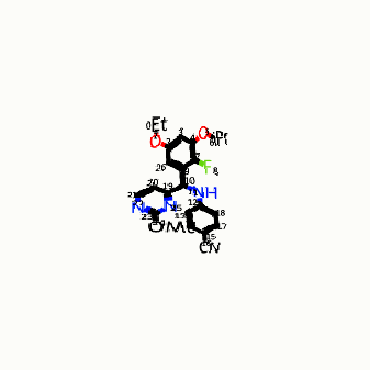 CCOc1cc(OC(C)C)c(F)c(C(Nc2ccc(C#N)cc2)c2ccnc(OC)n2)c1